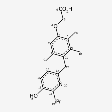 Cc1cc(OCC(=O)O)c(C)c(C)c1Cc1ccc(O)c(C(C)C)n1